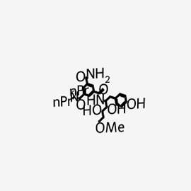 CCCN(CCC)C(=O)c1cc(C(N)=O)cc(C(=O)NC(Cc2ccc(O)cc2)C(O)C(O)CCOC)c1